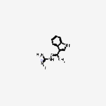 [H]/N=C(/N)NN=C(C)c1c[nH]c2ccccc12